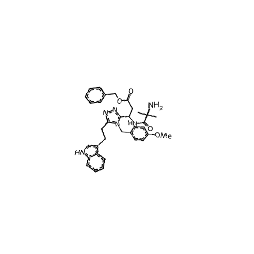 COc1ccc(Cn2c(CCc3c[nH]c4ccccc34)nnc2C(CC(=O)OCc2ccccc2)NC(=O)C(C)(C)N)cc1